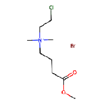 COC(=O)CCC[N+](C)(C)CCCl.[Br-]